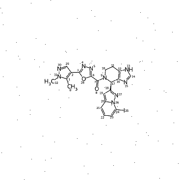 Cc1c(-c2nnc(C(=O)N3CCc4[nH]cnc4[C@H]3c3cc4cccc(I)n4n3)o2)cnn1C